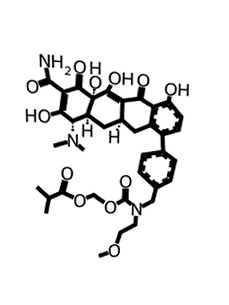 COCCN(Cc1ccc(-c2ccc(O)c3c2C[C@H]2C[C@H]4[C@H](N(C)C)C(O)=C(C(N)=O)C(=O)[C@@]4(O)C(O)=C2C3=O)cc1)C(=O)OCOC(=O)C(C)C